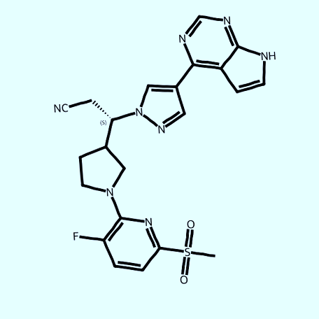 CS(=O)(=O)c1ccc(F)c(N2CCC([C@H](CC#N)n3cc(-c4ncnc5[nH]ccc45)cn3)C2)n1